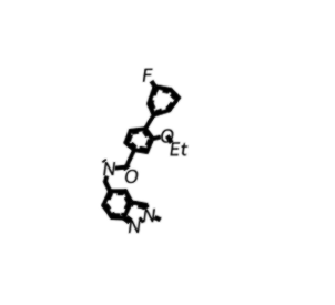 CCOc1cc(C(=O)N(C)Cc2ccc3nn(C)cc3c2)ccc1-c1cccc(F)c1